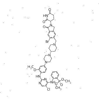 COc1cc(N2CCN(C3CCN(Cc4cc5c(cc4Br)C(=O)N(C4CCC(=O)NC4=O)C5)CC3)CC2)ccc1Nc1ncc(Cl)c(Nc2ccccc2P(=O)(OC)OC)n1